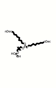 [CH2]C([CH2])(COP(O)O)COP(OCCCCCCCCCCCCCCCCCC)OCCCCCCCCCCCCCCCCCC